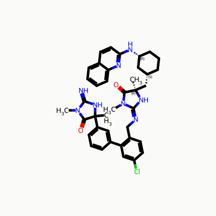 CN1C(=N)NC(C)(c2cccc(-c3cc(Cl)ccc3CN=C3N[C@](C)(C[C@H]4CCC[C@@H](Nc5ccc6ccccc6n5)C4)C(=O)N3C)c2)C1=O